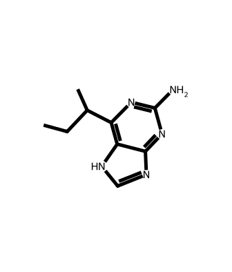 CCC(C)c1nc(N)nc2nc[nH]c12